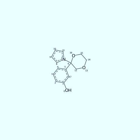 Oc1cccc(C2(n3cccc3)COCCO2)c1